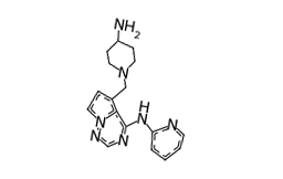 NC1CCN(Cc2ccn3ncnc(Nc4ccccn4)c23)CC1